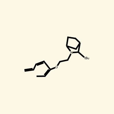 C=C/C=C\C(=C/C)OCCN1C2CCC(C2)C1C(C)(C)C